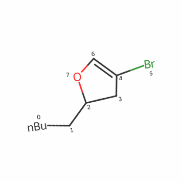 CCCCCC1CC(Br)=CO1